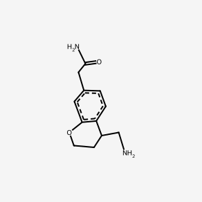 NCC1CCOc2cc(CC(N)=O)ccc21